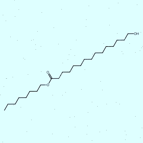 CCCCCCCCOC(=O)CCCCCCCCCCCCCCO